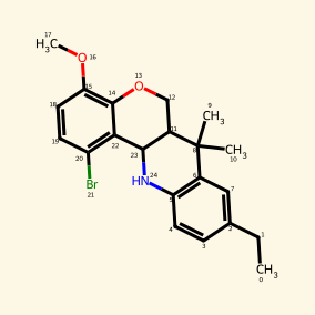 CCc1ccc2c(c1)C(C)(C)C1COc3c(OC)ccc(Br)c3C1N2